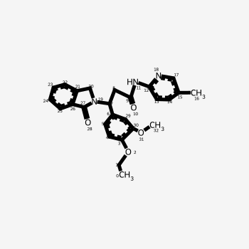 CCOc1ccc(C(CC(=O)Nc2ccc(C)cn2)N2Cc3ccccc3C2=O)cc1OC